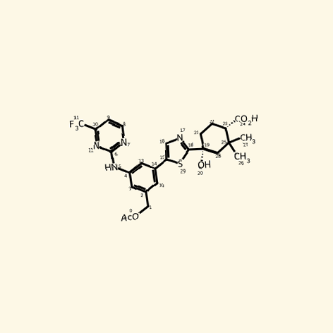 CC(=O)OCc1cc(Nc2nccc(C(F)(F)F)n2)cc(-c2cnc([C@@]3(O)CC[C@H](C(=O)O)C(C)(C)C3)s2)c1